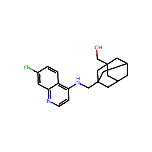 OCC12CC3CC(C1)CC(CNc1ccnc4cc(Cl)ccc14)(C3)C2